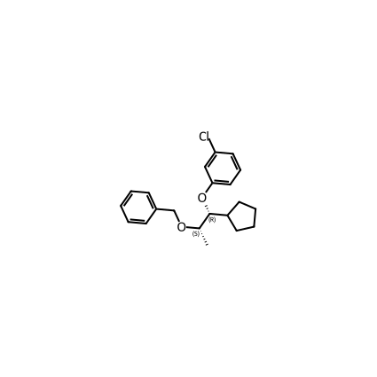 C[C@H](OCc1ccccc1)[C@H](Oc1cccc(Cl)c1)C1CCCC1